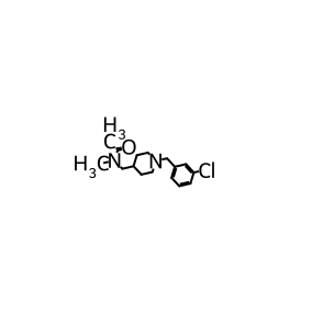 CC(=O)N(C)CC1CCN(Cc2cccc(Cl)c2)CC1